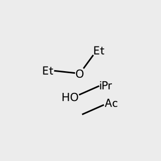 CC(C)=O.CC(C)O.CCOCC